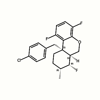 C[C@@H]1CC[C@@]2(Cc3ccc(Cl)cc3)c3c(F)ccc(F)c3OC[C@H]2[C@@H]1F